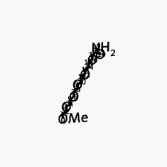 COCCOCCOCCOCCOCCCOCC(N)=O